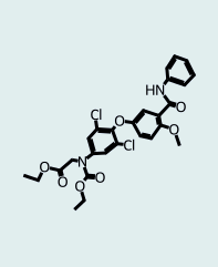 CCOC(=O)CN(C(=O)OCC)c1cc(Cl)c(Oc2ccc(OC)c(C(=O)Nc3ccccc3)c2)c(Cl)c1